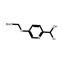 COCOc1ccc(C(O)C(C)=O)nc1